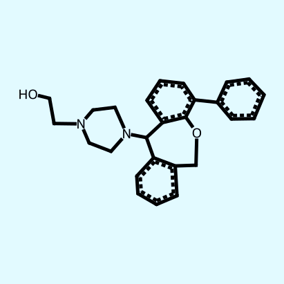 OCCN1CCN(C2c3ccccc3COc3c(-c4ccccc4)cccc32)CC1